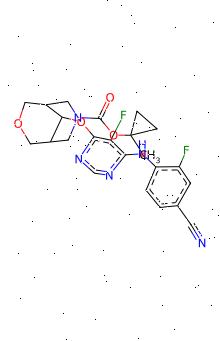 CC1(OC(=O)N2CC3COCC(C2)C3Oc2ncnc(Nc3ccc(C#N)cc3F)c2F)CC1